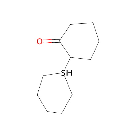 O=C1CCCCC1[SiH]1CCCCC1